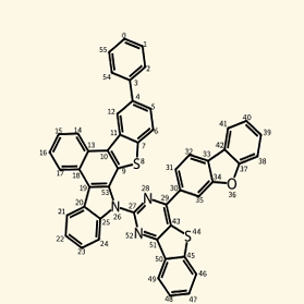 c1ccc(-c2ccc3sc4c(c3c2)c2ccccc2c2c3ccccc3n(-c3nc(-c5ccc6c(c5)oc5ccccc56)c5sc6ccccc6c5n3)c42)cc1